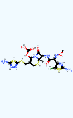 CON=C(C(=O)NC1C(=O)N2C(OC(=O)O)=C(CSc3nnc(N)s3)CS[C@@H]12)c1nc(N)sc1Cl